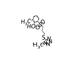 Cc1cccc(S(=O)(=O)CCCSc2nnnn2C)c1O